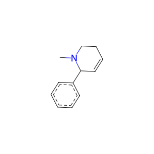 CN1CCC=CC1c1ccccc1